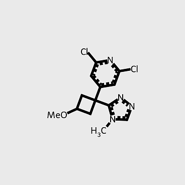 COC1CC(c2cc(Cl)nc(Cl)c2)(c2nncn2C)C1